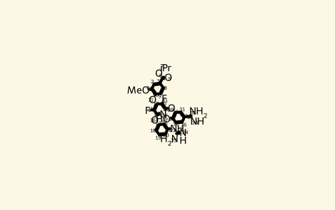 COc1cc(C(=O)OC(C)C)ccc1Oc1c(F)c(Oc2cccc(NC(=N)N)c2)nc(Oc2cc(C(=N)N)ccc2O)c1F